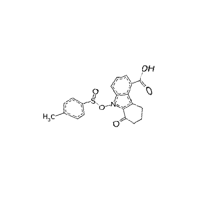 Cc1ccc(S(=O)On2c3c(c4c(C(=O)O)cccc42)CCCC3=O)cc1